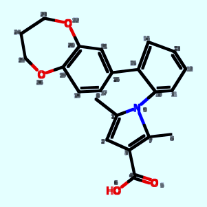 Cc1cc(C(=O)O)c(C)n1-c1ccccc1-c1ccc2c(c1)OCCCO2